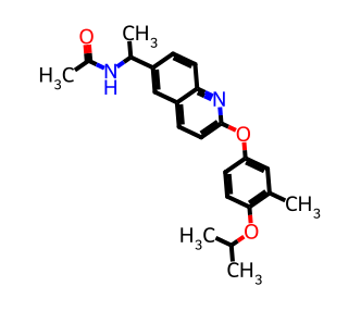 CC(=O)NC(C)c1ccc2nc(Oc3ccc(OC(C)C)c(C)c3)ccc2c1